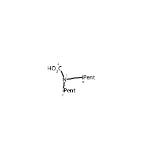 CCCC(C)N(C(=O)O)C(C)CCC